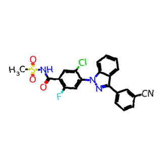 CS(=O)(=O)NC(=O)c1cc(Cl)c(-n2nc(-c3cccc(C#N)c3)c3ccccc32)cc1F